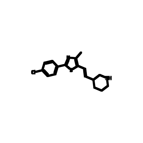 Cc1nc(-c2ccc(Cl)cc2)sc1C=CC1CCCNC1